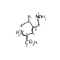 NCC(CC(N)C(=O)O)C(F)F